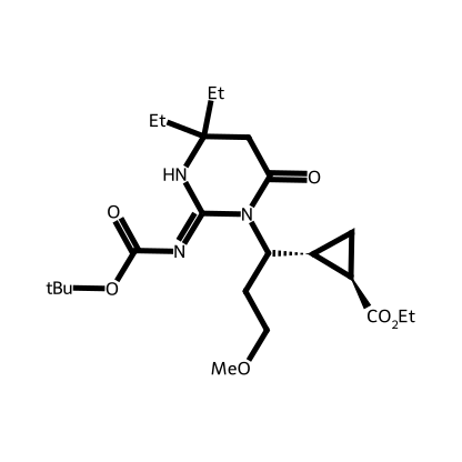 CCOC(=O)[C@@H]1C[C@H]1C(CCOC)N1C(=O)CC(CC)(CC)N/C1=N\C(=O)OC(C)(C)C